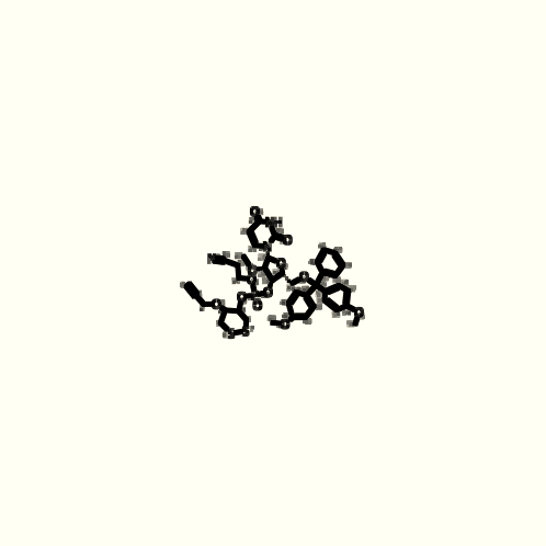 C#CCOC1CSSCC1OP(=O)(OCCC#N)O[C@H]1[C@@H](OC)[C@H](n2ccc(=O)[nH]c2=O)O[C@@H]1COC(c1ccccc1)(c1ccc(OC)cc1)c1ccc(OC)cc1